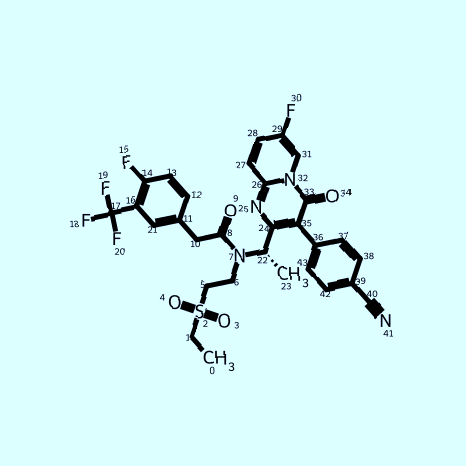 CCS(=O)(=O)CCN(C(=O)Cc1ccc(F)c(C(F)(F)F)c1)[C@@H](C)c1nc2ccc(F)cn2c(=O)c1-c1ccc(C#N)cc1